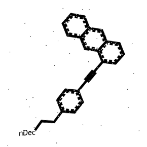 CCCCCCCCCCCCc1ccc(C#Cc2cccc3cc4ccccc4cc23)cc1